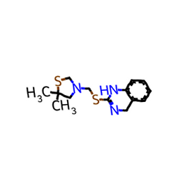 CC1(C)CN(CSC2=NCc3ccccc3N2)CS1